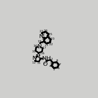 O=C(Cc1ccccc1)NC1CC=NN1C1CCN(Cc2cccc3cccnc23)CC1